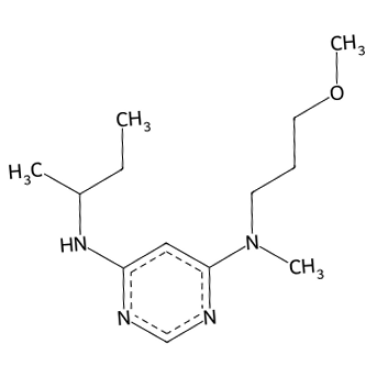 CCC(C)Nc1cc(N(C)CCCOC)ncn1